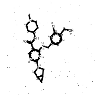 CN1CCC(NC(=O)c2cnc(N3CC4CC4C3)nc2NCc2ccc(CO)c(Cl)c2)CC1